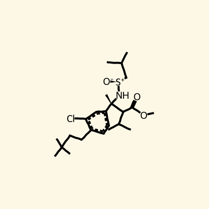 COC(=O)C(C(C)C)[C@@](C)(N[S@@+]([O-])CC(C)C)c1ccc(CCC(C)(C)C)c(Cl)c1